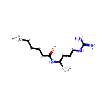 N=C(N)NCCCC(NC(=O)CCCCC(=O)O)C(=O)O